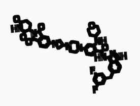 O=C1CCC(N2C(=O)c3ccc(N4CC(N5CCN(c6ccc(C(=O)Nc7n[nH]c8ccc(Cc9cc(F)cc(F)c9)cc78)c(NC7CCOCC7)c6)CC5)C4)cc3C2=O)C(=O)N1